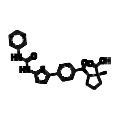 C[C@@]1(C(=O)O)CCC[C@H]1C(=O)c1ccc(-c2ccc(NC(=O)Nc3ccccc3)s2)cc1